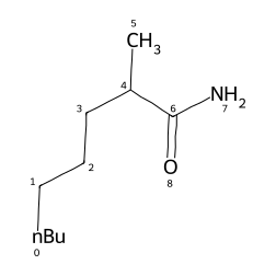 CCCCCCCC(C)C(N)=O